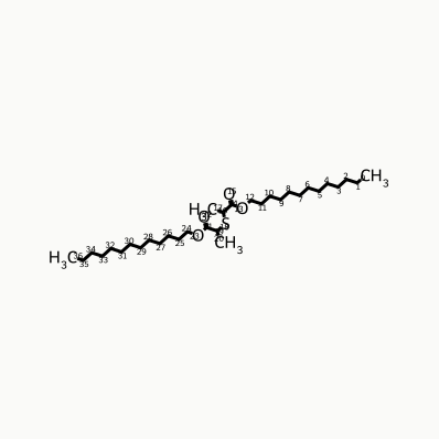 CCCCCCCCCCCCCOC(=O)C(C)SC(C)C(=O)OCCCCCCCCCCCCC